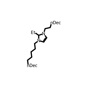 CCCCCCCCCCCCCCCN1C=CN(CCCCCCCCCCCC)C1CC